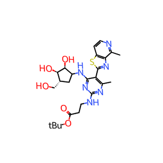 Cc1nc(NCCC(=O)OC(C)(C)C)nc(NC2C[C@H](CO)[C@@H](O)[C@H]2O)c1-c1nc2c(C)nccc2s1